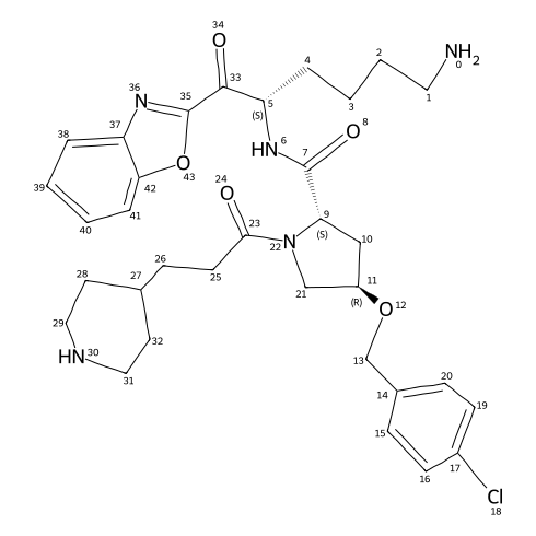 NCCCC[C@H](NC(=O)[C@@H]1C[C@@H](OCc2ccc(Cl)cc2)CN1C(=O)CCC1CCNCC1)C(=O)c1nc2ccccc2o1